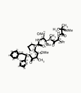 CC[C@H](C)[C@@H]([C@@H](NC(=O)N1CCC[C@H]1[C@H](OC)[C@@H](C)C(=O)C[C@@H](Cc1ccccc1)c1nccs1)OC)N(C)C(=O)[C@@H](NC(=O)C(C)(C)NC)C(C)C